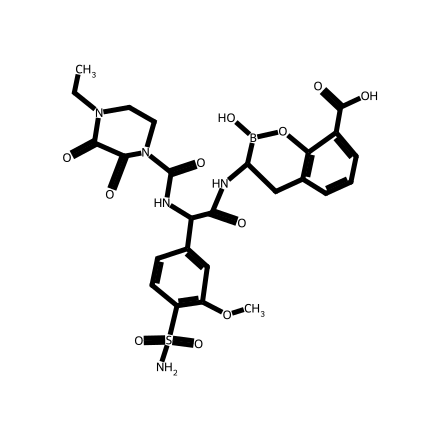 CCN1CCN(C(=O)NC(C(=O)NC2Cc3cccc(C(=O)O)c3OB2O)c2ccc(S(N)(=O)=O)c(OC)c2)C(=O)C1=O